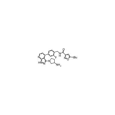 CC(C)(C)c1cc(C(=O)NCc2ccc(-c3ccnc4[nH]nc(N5CCC(N)C5)c34)cc2F)no1